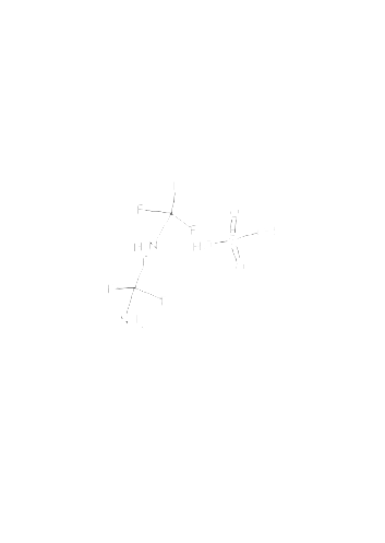 NC(F)(F)F.NC(F)(F)F.O=S(=O)(O)O